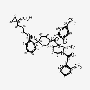 CCC[C@H]1N(C(=O)c2ncccc2C(F)(F)F)CCC[C@@]1(Oc1csc(C(F)(F)F)c1)C(=O)N1CCC(C#N)(c2ccccc2OCCCC2(C(=O)O)CC2)CC1